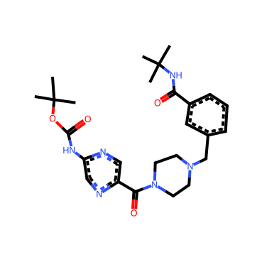 CC(C)(C)NC(=O)c1cccc(CN2CCN(C(=O)c3cnc(NC(=O)OC(C)(C)C)cn3)CC2)c1